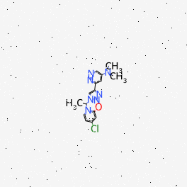 CC(n1cc(-c2cc(N(C)C)cnn2)nn1)n1ccc(Cl)cc1=O